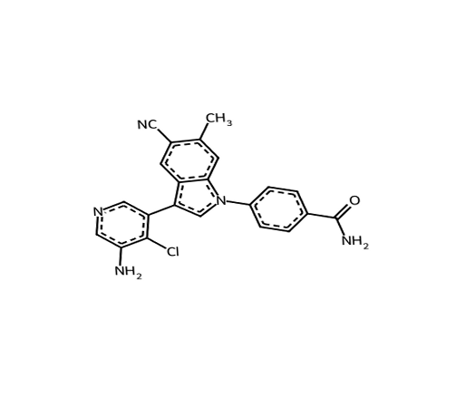 Cc1cc2c(cc1C#N)c(-c1cncc(N)c1Cl)cn2-c1ccc(C(N)=O)cc1